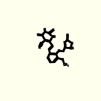 COc1cccc(C=Cc2[nH]c(=S)[nH]c(=O)c2C#N)c1OCc1nc(=O)o[nH]1